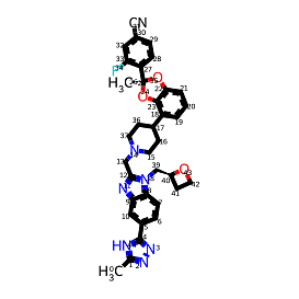 Cc1nnc(-c2ccc3c(c2)nc(CN2CCC(c4cccc5c4O[C@@](C)(c4ccc(C#N)cc4F)O5)CC2)n3C[C@@H]2CCO2)[nH]1